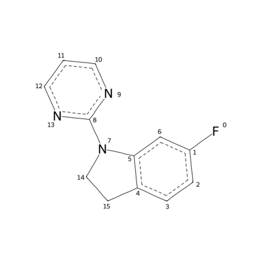 Fc1ccc2c(c1)N(c1ncccn1)CC2